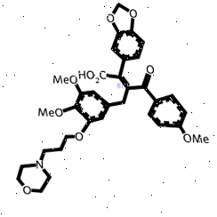 COc1ccc(C(=O)/C(Cc2cc(OC)c(OC)c(OCCCN3CCOCC3)c2)=C(/C(=O)O)c2ccc3c(c2)OCO3)cc1